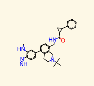 CNc1cc(-c2ccc(CNC(=O)C3CC3c3ccccc3)c3c2CCN(C(C)(C)C)C3)ccc1N=N